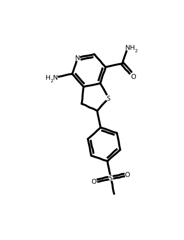 CS(=O)(=O)c1ccc(C2Cc3c(N)ncc(C(N)=O)c3S2)cc1